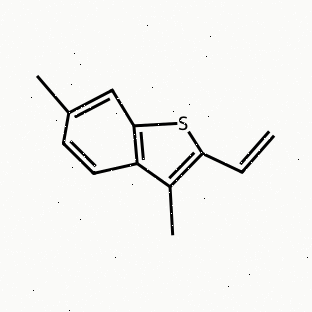 C=Cc1sc2cc(C)ccc2c1C